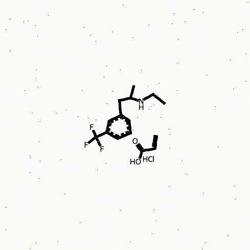 C=CC(=O)O.CCNC(C)Cc1cccc(C(F)(F)F)c1.Cl